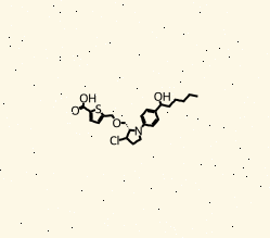 CCCCCC(O)c1ccc(N2CCC(Cl)[C@@H]2COCc2ccc(C(=O)O)s2)cc1